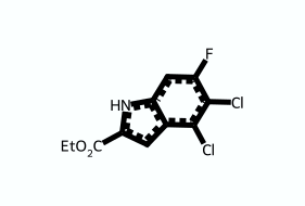 CCOC(=O)c1cc2c(Cl)c(Cl)c(F)cc2[nH]1